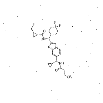 O=C(CCC(F)(F)F)NC(c1cnn2cc([C@@H](NC(=O)[C@H]3C[C@H]3CF)C3CCC(F)(F)CC3)nc2c1)C1CC1